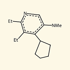 CCc1ncc(NC)c(C2CCCC2)c1CC